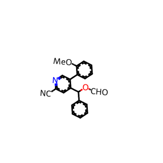 COc1ccccc1-c1cnc(C#N)cc1C(OC=O)c1ccccc1